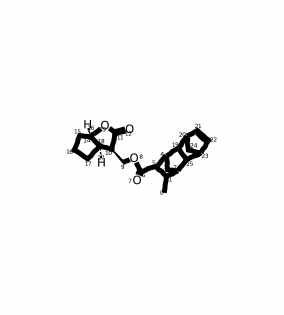 CC1C2CC(C1C(=O)OC[C@@H]1C(=O)O[C@@H]3CCC[C@H]13)C1C3C=CC(C3)C21